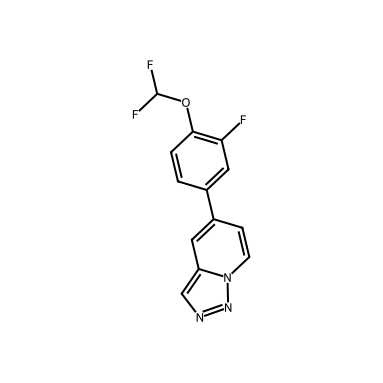 Fc1cc(-c2ccn3nncc3c2)ccc1OC(F)F